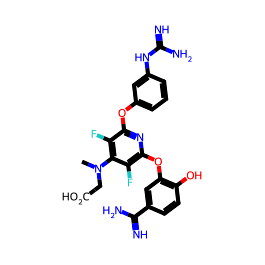 CN(CC(=O)O)c1c(F)c(Oc2cccc(NC(=N)N)c2)nc(Oc2cc(C(=N)N)ccc2O)c1F